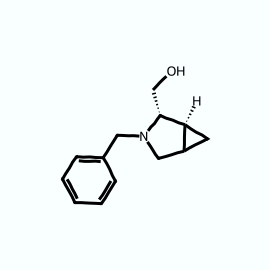 OC[C@@H]1[C@H]2CC2CN1Cc1ccccc1